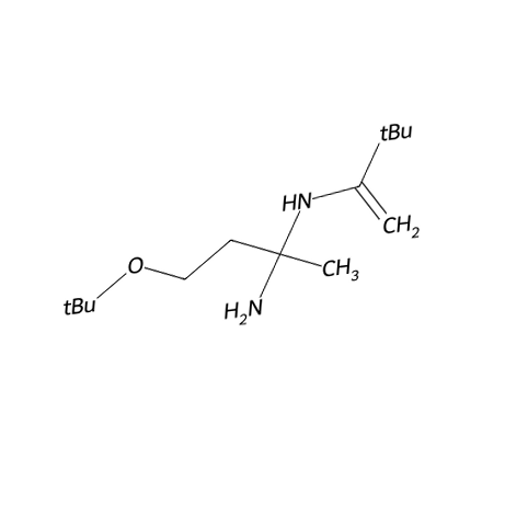 C=C(NC(C)(N)CCOC(C)(C)C)C(C)(C)C